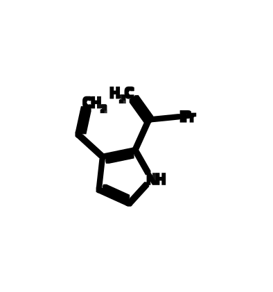 C=Cc1cc[nH]c1C(=C)C(C)C